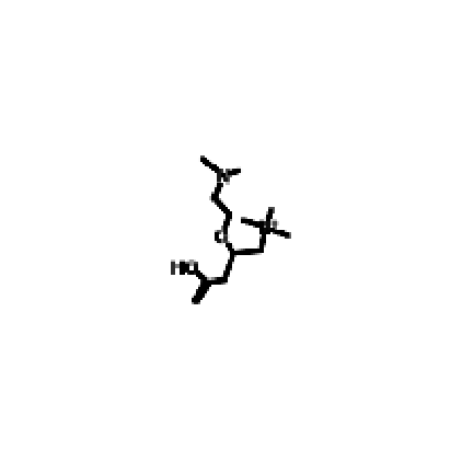 C=C(O)CC(C[N+](C)(C)C)OCCN(C)C